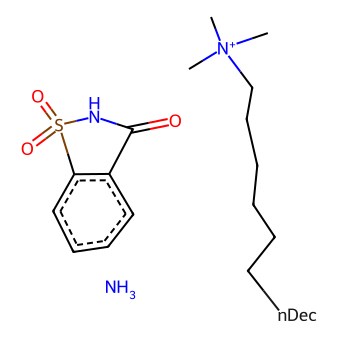 CCCCCCCCCCCCCCCC[N+](C)(C)C.N.O=C1NS(=O)(=O)c2ccccc21